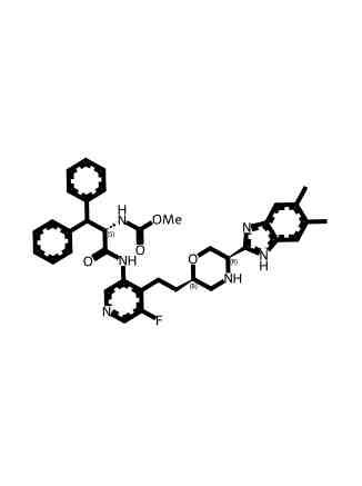 COC(=O)N[C@H](C(=O)Nc1cncc(F)c1CC[C@@H]1CN[C@H](c2nc3cc(C)c(C)cc3[nH]2)CO1)C(c1ccccc1)c1ccccc1